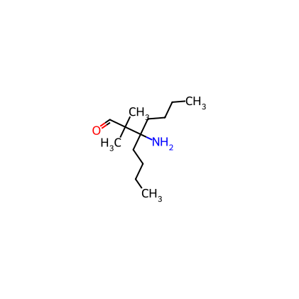 CCCCC(N)(CCCC)C(C)(C)C=O